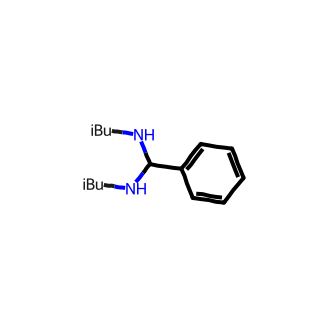 CCC(C)NC(NC(C)CC)c1ccccc1